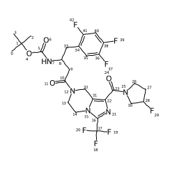 CC(C)(C)OC(=O)NC(CC(=O)N1CCn2c(C(F)(F)F)nc(C(=O)N3CCC(F)C3)c2C1)Cc1cc(F)c(F)cc1F